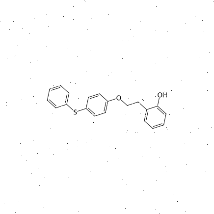 Oc1ccccc1CCOc1ccc(Sc2ccccc2)cc1